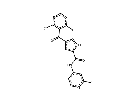 O=C(Nc1ccnc(Cl)c1)c1cc(C(=O)c2c(F)cccc2Cl)c[nH]1